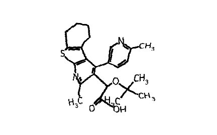 Cc1ccc(-c2c(C(OC(C)(C)C)C(=O)O)c(C)nc3sc4c(c23)CCCC4)cn1